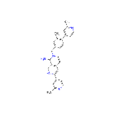 Cc1cc(C2=CC3=C(CN2)C(N)N(Cc2ccc(-c4ccnc(C)c4)c(C)c2)C=C3)ccn1